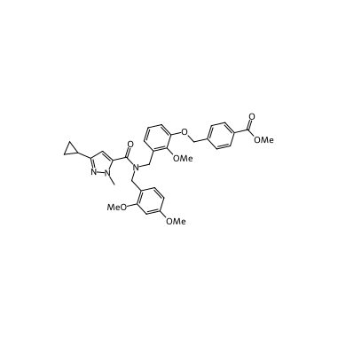 COC(=O)c1ccc(COc2cccc(CN(Cc3ccc(OC)cc3OC)C(=O)c3cc(C4CC4)nn3C)c2OC)cc1